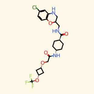 O=C(CO[C@H]1C[C@@H](OC(F)(F)F)C1)N[C@H]1CC[C@H](C(=O)NCC2CNc3cc(Cl)ccc3O2)CC1